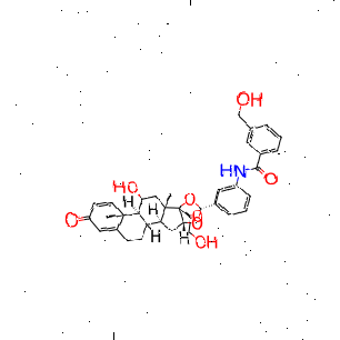 C[C@]12C=CC(=O)C=C1CC[C@@H]1[C@@H]2[C@@H](O)C[C@@]2(C)[C@H]1C[C@H]1O[C@@H](c3cccc(NC(=O)c4cccc(CO)c4)c3)O[C@]12C(=O)CO